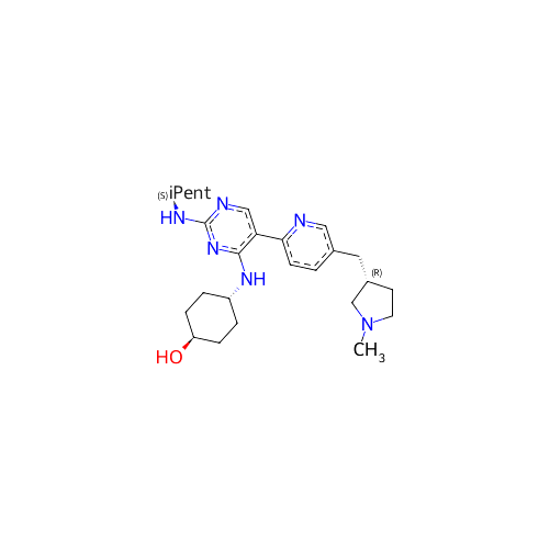 CCC[C@H](C)Nc1ncc(-c2ccc(C[C@@H]3CCN(C)C3)cn2)c(N[C@H]2CC[C@H](O)CC2)n1